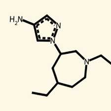 CCC1CCN(CC)CC(n2cc(N)cn2)C1